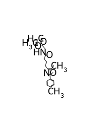 COC(CNC(=O)CCCc1nc(-c2ccc(C)cc2)oc1C)OC